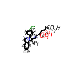 CC(C)c1c(/C=C/C(O)CC(O)CC(=O)O)c(-c2ccc(F)cc2)n2ccc3ccccc3c12